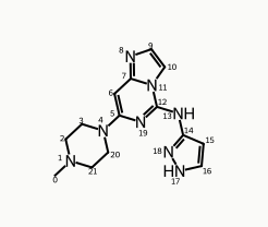 CN1CCN(c2cc3nccn3c(Nc3cc[nH]n3)n2)CC1